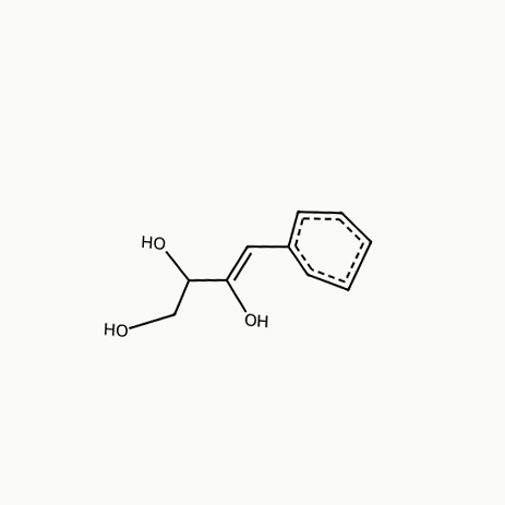 OCC(O)/C(O)=C/c1ccccc1